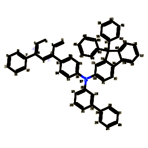 C=C/C(=C\C(=C/C)c1ccccc1)c1ccc(N(c2cccc(-c3ccccc3)c2)c2ccc3c(c2)C(c2ccccc2)(c2ccccc2)c2ccccc2-3)cc1